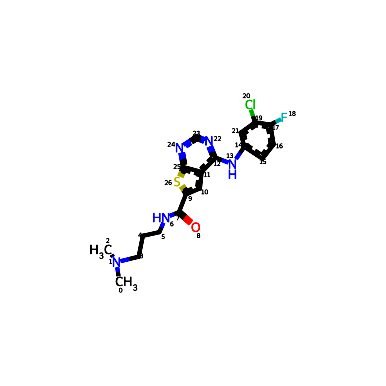 CN(C)CCCNC(=O)c1cc2c(Nc3ccc(F)c(Cl)c3)ncnc2s1